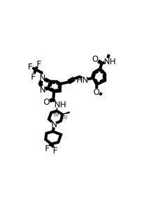 CNC(=O)c1ccc(OC)c(NCC#Cc2cc(C(=O)N[C@H]3CCN(C4CCC(F)(F)CC4)C[C@@H]3C)c3ncn(CC(F)(F)F)c3c2)c1